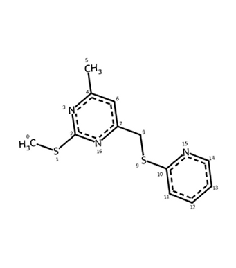 CSc1nc(C)cc(CSc2ccccn2)n1